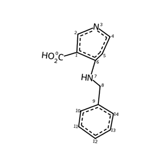 O=C(O)c1cnccc1NCc1ccccc1